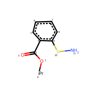 CC(C)OC(=O)c1ccccc1SN